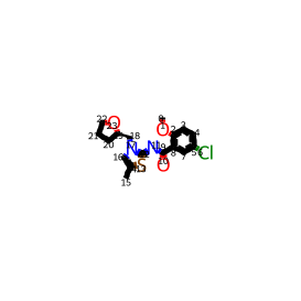 COc1ccc(Cl)cc1C(=O)/N=c1\sc(C)cn1C[C@H]1CCCO1